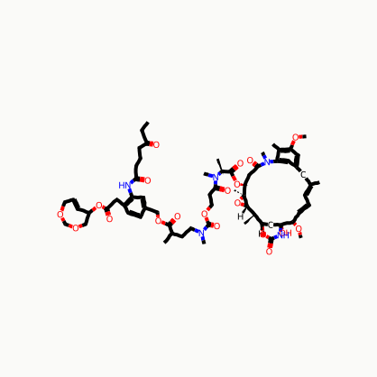 CCC(=O)CCCC(=O)Nc1cc(COC(=O)C(C)CCN(C)C(=O)OCCC(=O)N(C)[C@@H](C)C(=O)O[C@H]2CC(=O)N(C)c3cc(cc(OC)c3C)C/C(C)=C/C=C/C(OC)C3(O)C[C@H](OC(=O)N3)[C@@H](C)[C@@H]3O[C@@]23C)ccc1CC(=O)OC1/C=C/COCOC1